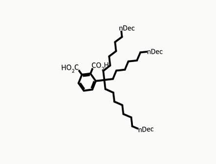 CCCCCCCCCCCCCCCCCC(CCCCCCCCCCCCCCCC)(CCCCCCCCCCCCCCCC)c1cccc(C(=O)O)c1C(=O)O